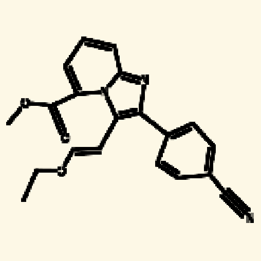 CCOC=Cc1c(-c2ccc(C#N)cc2)nc2cccc(C(=O)OC)n12